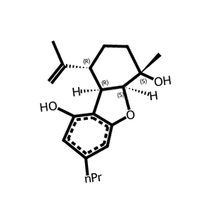 C=C(C)[C@@H]1CC[C@](C)(O)[C@H]2Oc3cc(CCC)cc(O)c3[C@@H]12